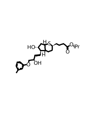 Cc1cccc(OC[C@H](O)/C=C/[C@@H]2[C@H]3CC[C@H](CCCC(=O)OC(C)C)S[C@H]3C[C@H]2O)c1